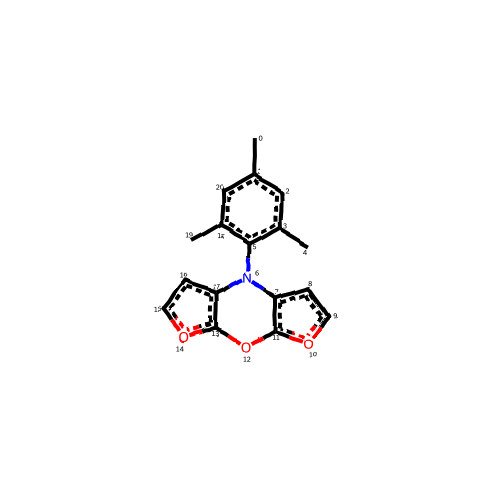 Cc1cc(C)c(N2c3ccoc3Oc3occc32)c(C)c1